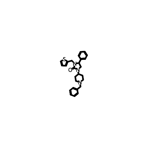 O=C1N(C2CCN(Cc3ccccc3)CC2)CC(c2ccccc2)N1Cc1cccs1